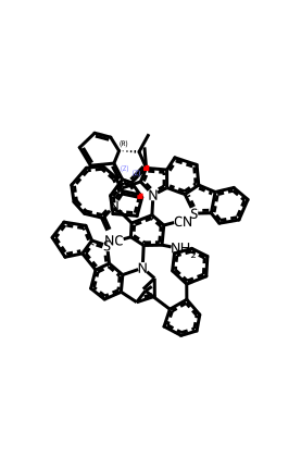 C=c1ccccccc(=C)n1-c1c(C#N)c(N2C3=C(c4ccccc4-c4ccccc4)C(=C3)c3ccc4c(sc5ccccc54)c32)c(N)c(C#N)c1-n1c(C)c(C(C)[C@H]2C=CC=C/C2=c2\cccc\c2=C\C)c2ccc3c4ccccc4sc3c21